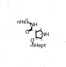 CCCCCCCO[C@H]1CNC[C@H]1C(=O)NCCCCCC